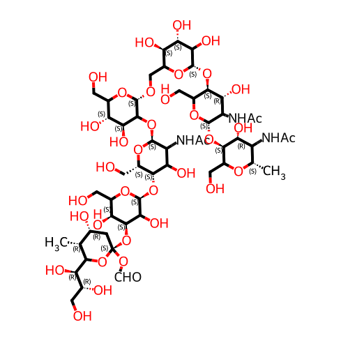 CC(=O)NC1C(O)[C@H](O[C@@H]2OC(CO)[C@H](O)[C@H](O[C@]3(OC=O)C[C@@H](O)[C@@H](C)C([C@H](O)[C@H](O)CO)O3)C2O)[C@H](CO)O[C@H]1OC1[C@@H](OCC2O[C@@H](O[C@@H]3C(CO)O[C@@H](O[C@@H]4C(CO)O[C@@H](C)C(NC(C)=O)[C@H]4O)C(NC(C)=O)[C@H]3O)C(O)[C@@H](O)[C@@H]2O)OC(CO)[C@@H](O)[C@@H]1O